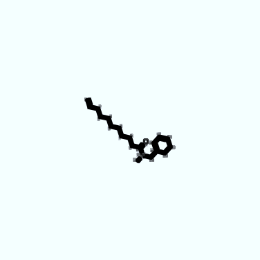 C=CCCCCCCCCC(=O)N(C)CC1=CC=CCC1